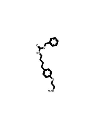 CNCCOc1ccc(CCCCNC(=O)OCc2ccccc2)cc1